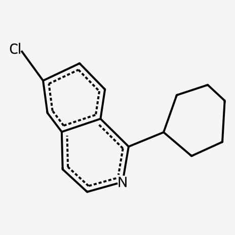 Clc1ccc2c(C3CCCCC3)nccc2c1